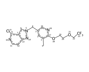 Cc1cc(Cn2cc3c(Cl)nccc3n2)cnc1OCCOCC(F)(F)F